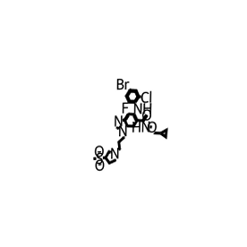 CS(=O)(=O)C1CCN(CCCN2C=NC3=C(F)C(Nc4ccc(Br)cc4Cl)=C(C(=O)NOCC4CC4)CC32)C1